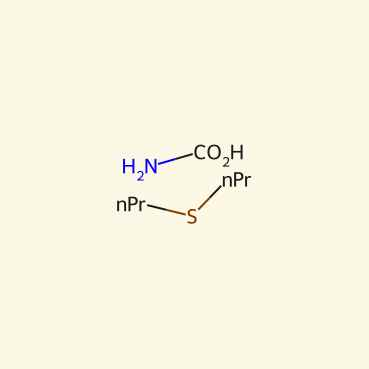 CCCSCCC.NC(=O)O